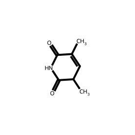 CC1=CC(C)C(=O)NC1=O